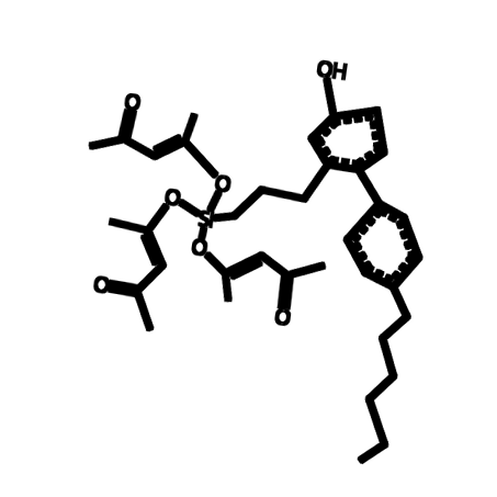 CCCCCCc1ccc(-c2ccc(O)cc2CCC[Si](OC(C)=CC(C)=O)(OC(C)=CC(C)=O)OC(C)=CC(C)=O)cc1